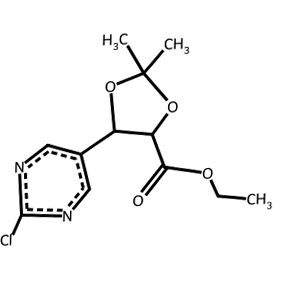 CCOC(=O)C1OC(C)(C)OC1c1cnc(Cl)nc1